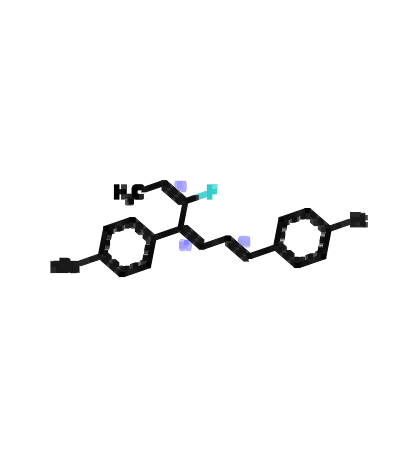 C\C=C(F)/C(=C\C=C\c1ccc(CC)cc1)c1ccc(CCCC)cc1